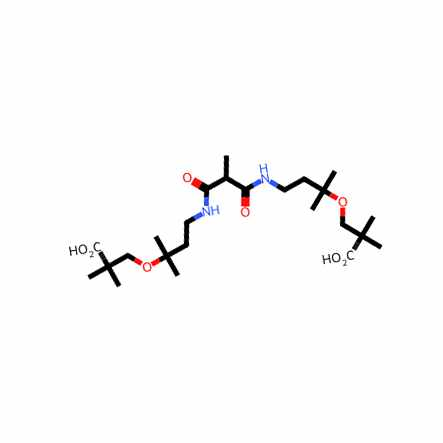 CC(C(=O)NCCC(C)(C)OCC(C)(C)C(=O)O)C(=O)NCCC(C)(C)OCC(C)(C)C(=O)O